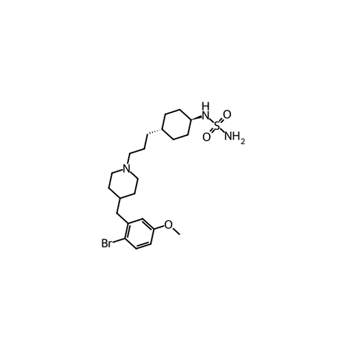 COc1ccc(Br)c(CC2CCN(CCC[C@H]3CC[C@H](NS(N)(=O)=O)CC3)CC2)c1